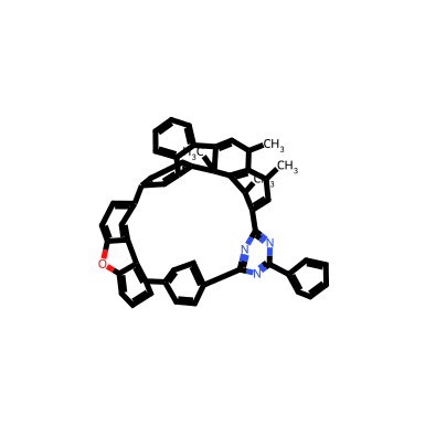 CC1C=C2c3nc(-c4ccccc4)nc(n3)-c3ccc(cc3)-c3cccc4oc5ccc(cc5c34)-c3ccc4c(c3)-c3ccccc3C3=CC(C)C1=C(C2C)C34C